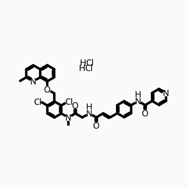 Cc1ccc2cccc(OCc3c(Cl)ccc(N(C)C(=O)CNC(=O)C=Cc4ccc(NC(=O)c5ccncc5)cc4)c3Cl)c2n1.Cl.Cl